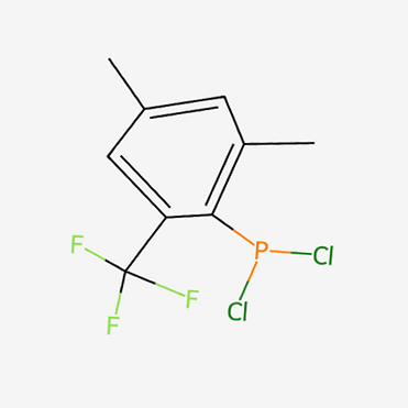 Cc1cc(C)c(P(Cl)Cl)c(C(F)(F)F)c1